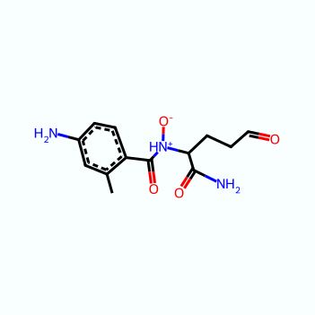 Cc1cc(N)ccc1C(=O)[NH+]([O-])C(CCC=O)C(N)=O